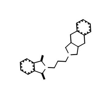 O=C1c2ccccc2C(=O)N1CCCN1CC2Cc3ccccc3CC2C1